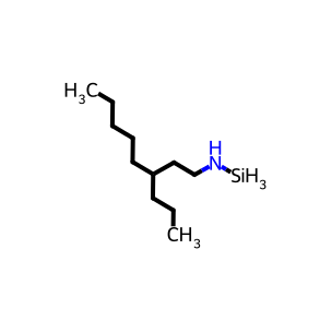 CCCCCC(CCC)CCN[SiH3]